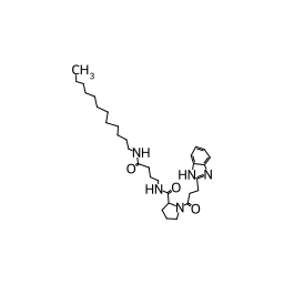 CCCCCCCCCCCCNC(=O)CCCNC(=O)C1CCCN1C(=O)CCc1nc2ccccc2[nH]1